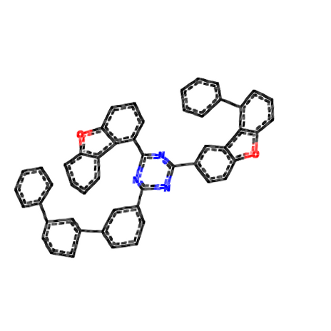 c1ccc(-c2cccc(-c3cccc(-c4nc(-c5ccc6oc7cccc(-c8ccccc8)c7c6c5)nc(-c5cccc6oc7ccccc7c56)n4)c3)c2)cc1